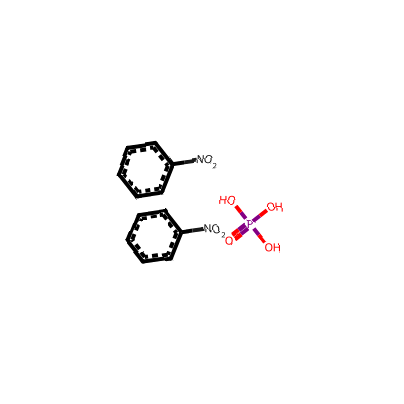 O=P(O)(O)O.O=[N+]([O-])c1ccccc1.O=[N+]([O-])c1ccccc1